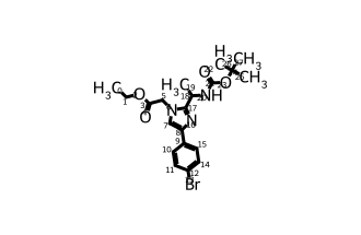 CCOC(=O)Cn1cc(-c2ccc(Br)cc2)nc1C(C)NC(=O)OC(C)(C)C